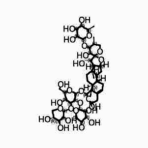 C[C@@H]1O[C@@H](O[C@H]2[C@H](O[C@@H]3C[C@H](O)CC4=CC[C@H]5[C@@H]6C[C@@H]7O[C@@]8(OC[C@H](C)[C@H](O[C@@H]9O[C@H](C)[C@H](O)[C@H](O)[C@H]9O)[C@@H]8O)[C@@H](CO)[C@@H]7[C@@]6(C)CC[C@@H]5[C@]43C)O[C@H](CO)[C@@H](O)[C@@H]2O[C@@H]2OC[C@@H](O)[C@H](O)[C@H]2O)[C@H](O)[C@H](O)[C@H]1O